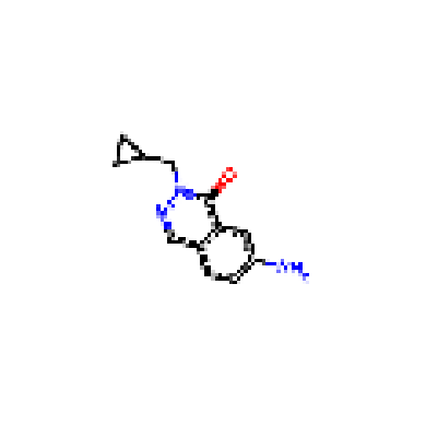 Nc1ccc2cnn(CC3CC3)c(=O)c2c1